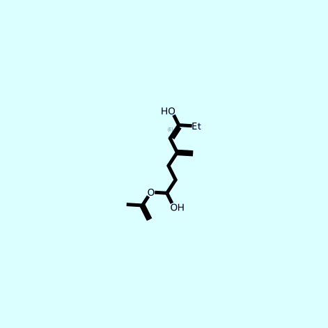 C=C(/C=C(/O)CC)CCC(O)OC(=C)C